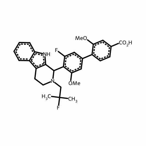 COc1cc(C(=O)O)ccc1-c1cc(F)c(C2c3[nH]c4ccccc4c3CCN2CC(C)(C)F)c(OC)c1